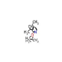 C=C(C)c1c(CC)ccnc1OCC(C)(C)C